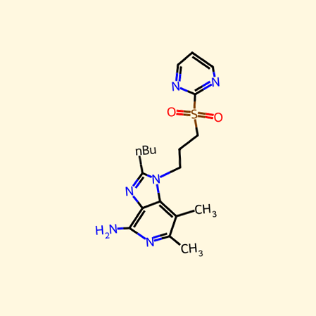 CCCCc1nc2c(N)nc(C)c(C)c2n1CCCS(=O)(=O)c1ncccn1